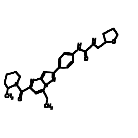 CCc1cc(C(=O)N2CCCCC2C)nc2cc(-c3ccc(NC(=O)NCC4CCCO4)cc3)nn12